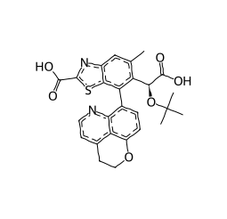 Cc1cc2nc(C(=O)O)sc2c(-c2ccc3c4c(ccnc24)CCO3)c1[C@H](OC(C)(C)C)C(=O)O